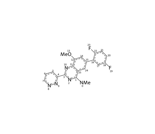 CNc1nc(-c2cccnn2)nc2c(OC)cc(-c3cc(F)ccc3F)cc12